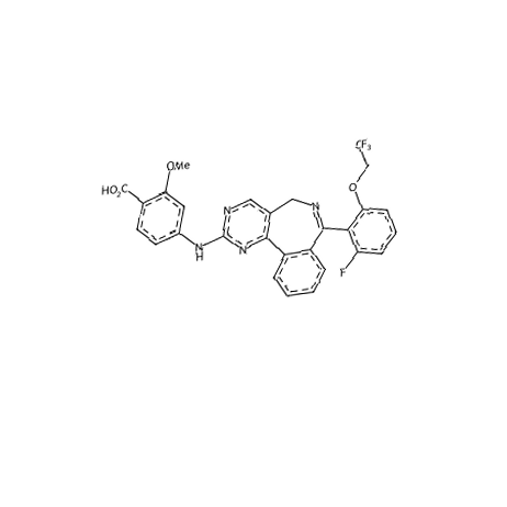 COc1cc(Nc2ncc3c(n2)-c2ccccc2C(c2c(F)cccc2OCC(F)(F)F)=NC3)ccc1C(=O)O